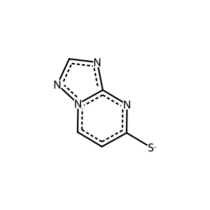 [S]c1ccn2ncnc2n1